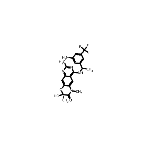 Cc1nc(N[C@H](C)c2cc(N)cc(C(F)(F)F)c2)c2cc3c(cc2n1)O[C@@](C)(O)C(=O)N3C